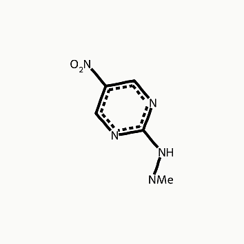 CNNc1ncc([N+](=O)[O-])cn1